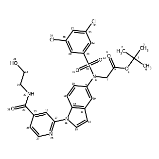 CC(C)(C)OC(=O)CN(c1ccc2c(ccn2-c2cc(C(=O)NCCO)ccn2)c1)S(=O)(=O)c1cc(Cl)cc(Cl)c1